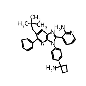 CC(C)(C)Cc1cc2nc(-c3cccnc3N)n(-c3ccc(C4(N)CCC4)cc3)c2nc1-c1ccccc1